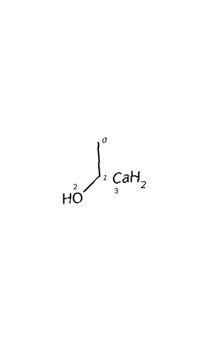 CCO.[CaH2]